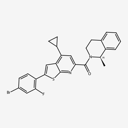 C[C@@H]1c2ccccc2CCN1C(=O)c1cc(C2CC2)c2cc(-c3ccc(Br)cc3F)sc2n1